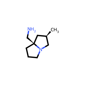 C[C@H]1CN2CCC[C@]2(CN)C1